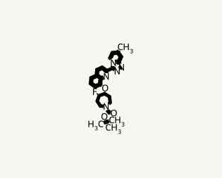 Cc1ccn2c(-c3ccc4cccc(O[C@@H]5CCN(C(=O)OC(C)(C)C)CC[C@@H]5F)c4n3)nnc2c1